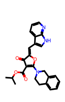 CC(C)OC(=O)C1=C(N2CCc3ccccc3C2)OC(=Cc2c[nH]c3ncccc23)C1=O